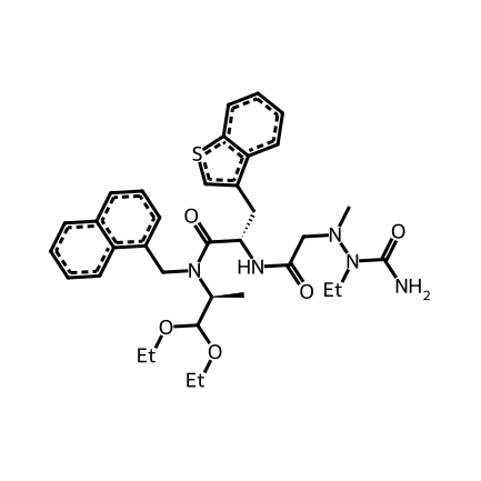 CCOC(OCC)[C@H](C)N(Cc1cccc2ccccc12)C(=O)[C@H](Cc1csc2ccccc12)NC(=O)CN(C)N(CC)C(N)=O